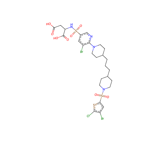 O=C(O)CC(NS(=O)(=O)c1cnc(N2CCC(CCCC3CCN(S(=O)(=O)c4cc(Br)c(Cl)s4)CC3)CC2)c(Br)c1)C(=O)O